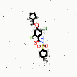 O=C(NS(=O)(=O)c1ccc(C(F)(F)F)cc1)c1cc(Cl)c(OCC2CCCC2)cc1F